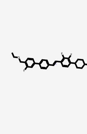 CCOCc1ccc(-c2ccc(/C=C/c3ccc(C4CCC(C)CC4)c(F)c3F)cc2)cc1F